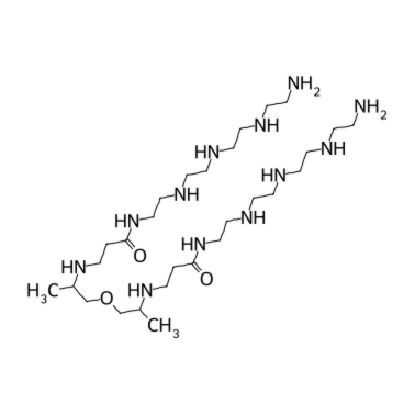 CC(COCC(C)NCCC(=O)NCCNCCNCCNCCN)NCCC(=O)NCCNCCNCCNCCN